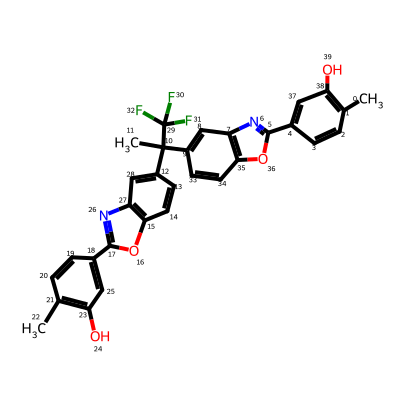 Cc1ccc(-c2nc3cc(C(C)(c4ccc5oc(-c6ccc(C)c(O)c6)nc5c4)C(F)(F)F)ccc3o2)cc1O